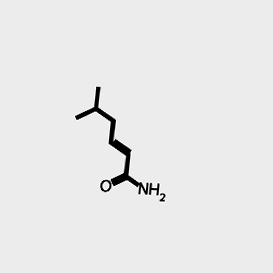 CC(C)CC=CC(N)=O